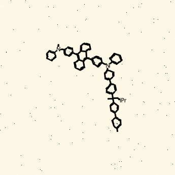 Cc1ccc(-c2ccc(C(C)(CC(C)C)c3ccc(-c4ccc(N(c5ccccc5)c5ccc(-c6c7ccccc7c(-c7ccc(N(C)c8ccccc8)cc7)c7ccccc67)cc5)cc4)cc3)cc2)cc1